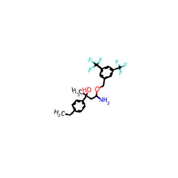 CCc1ccc(C(C)(O)CC(N)OCc2cc(C(F)(F)F)cc(C(F)(F)F)c2)cc1